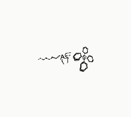 CCCCCCCC[As+](CC)(CC)CC.c1ccc([B-](c2ccccc2)(c2ccccc2)c2ccccc2)cc1